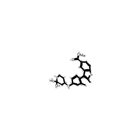 COC(=O)c1ccc2sc(C)c(-c3ccc(OC4CCSC(O)(O)C4)cc3C)c2c1